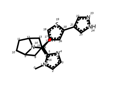 Cn1ccnc1C1(O)CC2CCC(C1)N2C(=O)c1csc(-c2cn[nH]c2)c1